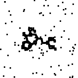 CN(C)CCC1CN(C)C(=S)c2cnccc2O1